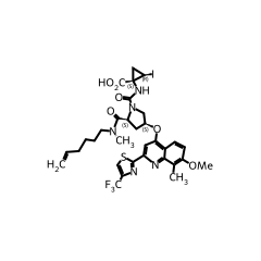 C=CCCCCN(C)C(=O)[C@@H]1C[C@H](Oc2cc(-c3nc(C(F)(F)F)cs3)nc3c(C)c(OC)ccc23)CN1C(=O)N[C@]1(C(=O)O)C[C@H]1I